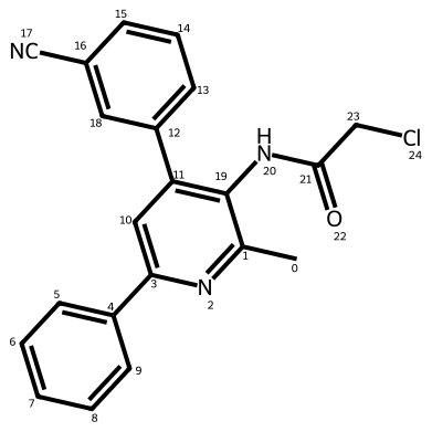 Cc1nc(-c2ccccc2)cc(-c2cccc(C#N)c2)c1NC(=O)CCl